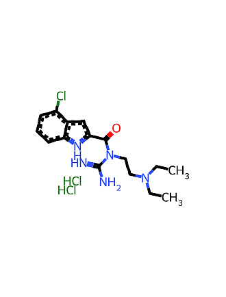 CCN(CC)CCN(C(=N)N)C(=O)c1cc2c(Cl)cccc2[nH]1.Cl.Cl